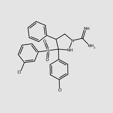 N=C(N)N1CC(c2ccccc2)C(c2ccc(Cl)cc2)(S(=O)(=O)c2cccc(Cl)c2)N1